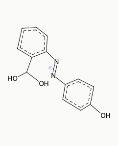 Oc1ccc(/N=N/c2ccccc2C(O)O)cc1